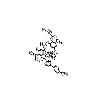 Cc1cc(C[n+]2cnn(CC(O)(c3cc(F)c(F)cc3F)C(C)c3nc(-c4ccc(C#N)cc4)cs3)c2)cc(C)c1OC(=O)CN.[Br-]